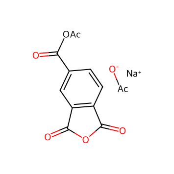 CC(=O)OC(=O)c1ccc2c(c1)C(=O)OC2=O.CC(=O)[O-].[Na+]